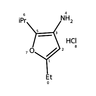 CCc1cc(N)c(C(C)C)o1.Cl